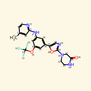 Cc1ccnc(Nc2cc(OC(F)(F)F)cc(-c3cnc(N4CCNC(=O)C4)o3)c2)c1